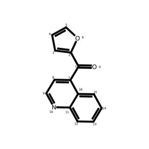 O=C(c1ccco1)c1ccnc2ccccc12